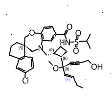 CC/C=C/[C@](C#CCO)(OC)[C@@H]1CC[C@H]1CN1C[C@@]2(CCCc3cc(Cl)ccc32)COc2ccc(C(=O)NS(=O)(=O)C(C)C)cc21